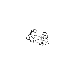 c1ccc2c(c1)SB1Sc3cccc4c3-c3c1c-2c1c2c3B(S4)Sc3cc4c5c(c3-2)C(C1)Oc1c2c3c6c(c1-5)B(Sc1cccc(c1-6)SB3Sc1ccccc1-2)S4